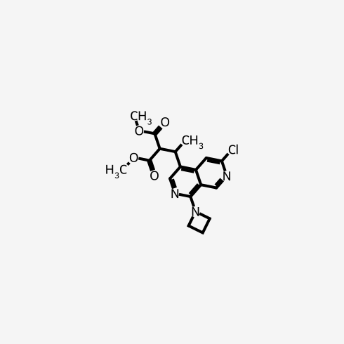 COC(=O)C(C(=O)OC)C(C)c1cnc(N2CCC2)c2cnc(Cl)cc12